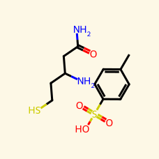 Cc1ccc(S(=O)(=O)O)cc1.NC(=O)CC(N)CCS